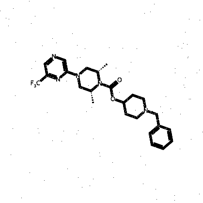 C[C@@H]1CN(c2cncc(C(F)(F)F)n2)C[C@H](C)N1C(=O)OC1CCN(Cc2ccccc2)CC1